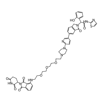 O=C1CCC(N2C(=O)c3cccc(NCCOCCOCCOCCN4CCN(c5ccc(-c6ccc7c(c6)C(=O)N(C(C(=O)Nc6nccs6)c6ccccc6O)C7)cn5)CC4)c3C2=O)C(=O)N1